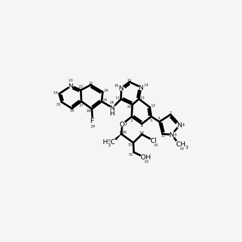 C[C@@H](Oc1cc(-c2cnn(C)c2)cc2ncnc(Nc3ccc4ncccc4c3F)c12)C(CO)CCl